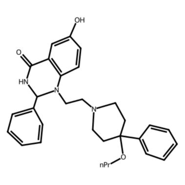 CCCOC1(c2ccccc2)CCN(CCN2c3ccc(O)cc3C(=O)NC2c2ccccc2)CC1